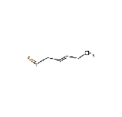 CCC=CC[C]=S